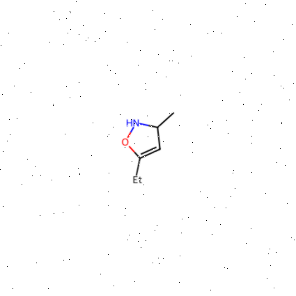 CCC1=CC(C)NO1